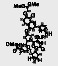 CC[C@@H]1C[C@]1(NC(=O)C1C[C@@H](Oc2cc(-c3csc(NC(C)C)n3)nc3c(Cl)c(OCC(OC)OC)ccc23)CN1C(=O)[C@@H](NC(=O)O[C@@H]1C[C@@H]2C[C@@H]2C1)C(C)(C)C)C(=O)OC